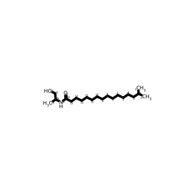 CC(C)CCCCCCCCCCCCCC(=O)NC(C)CO